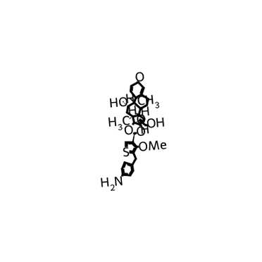 COc1c([C@@H]2O[C@@H]3C[C@H]4[C@@H]5CCC6=CC(=O)C=C[C@]6(C)[C@H]5[C@@H](O)C[C@]4(C)[C@]3(C(=O)CO)O2)csc1Cc1ccc(N)cc1